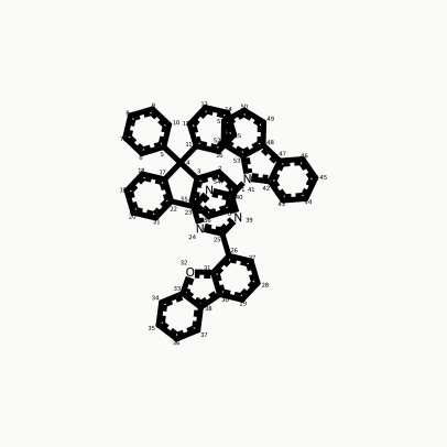 c1ccc(C(c2ccccc2)(c2ccccc2)c2ccccc2-c2nc(-c3cccc4c3oc3ccccc34)nc(-n3c4ccccc4c4ccccc43)n2)cc1